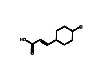 O=C(O)C=CC1CCC(Cl)CC1